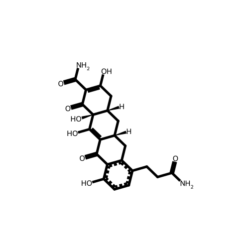 NC(=O)CCc1ccc(O)c2c1C[C@H]1C[C@H]3CC(O)=C(C(N)=O)C(=O)[C@@]3(O)C(O)=C1C2=O